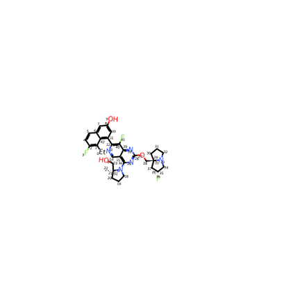 CCc1c(F)ccc2cc(O)cc(-c3ncc4c(N5CCC[C@@]5(C)CO)nc(OC[C@@]56CCCN5C[C@H](F)C6)nc4c3F)c12